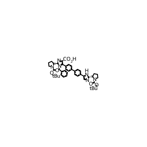 CC(C)(C)OC(=O)N1CCC[C@H]1c1ncc(-c2ccc(-c3ccc(-c4c(C(=O)O)nc([C@@H]5CCCN5C(=O)OC(C)(C)C)n4Cc4ccccc4)cc3)cc2)[nH]1